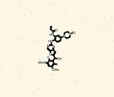 C=CC(=O)Nc1cc(N2CCN(CC)CC2)ccc1Nc1ncc2oc(C(O)c3c(F)c(OC)cc(OC)c3F)cc2n1